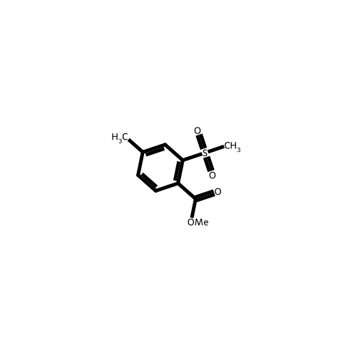 COC(=O)c1ccc(C)cc1S(C)(=O)=O